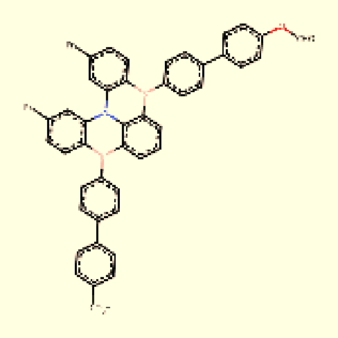 CC(C)c1ccc2c(c1)N1c3cc(C(C)C)ccc3B(c3ccc(-c4ccc(C(=O)O)cc4)cc3)c3cccc(c31)B2c1ccc(-c2ccc(OC=O)cc2)cc1